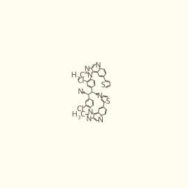 Cc1nc2cnc3ccc(-c4cccs4)cc3c2n1-c1ccc(C(C#N)C(C#N)c2ccc(-n3c(C)nc4cnc5ccc(-c6cccs6)cc5c43)c(Cl)c2)cc1Cl